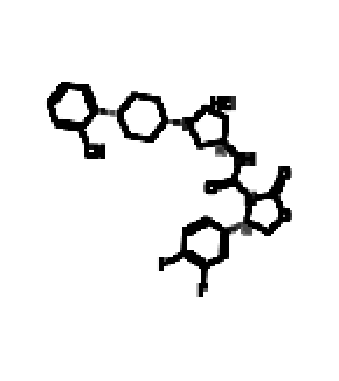 Cl.N#Cc1ccccc1[C@H]1CC[C@@H](N2CC[C@@H](NC(=O)N3C(=O)OC[C@@H]3c3ccc(F)c(F)c3)C2)CC1